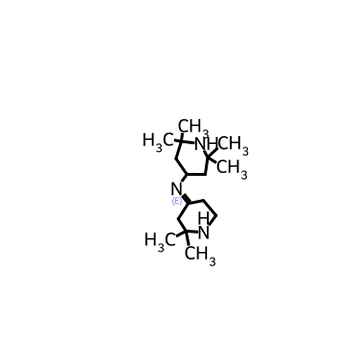 CC1(C)C/C(=N/C2CC(C)(C)NC(C)(C)C2)CCN1